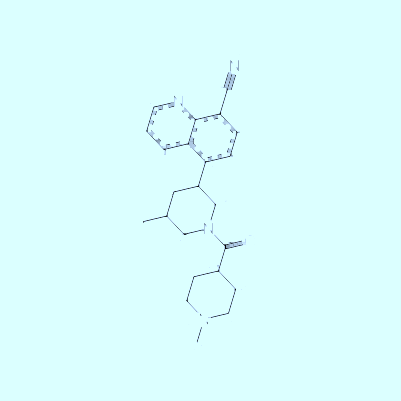 CC1CC(c2ccc(C#N)c3ncccc23)CN(C(=O)C2CCN(C)CC2)C1